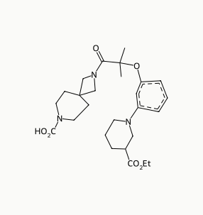 CCOC(=O)C1CCCN(c2cccc(OC(C)(C)C(=O)N3CC4(CCN(C(=O)O)CC4)C3)c2)C1